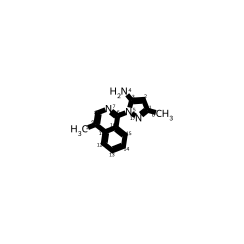 Cc1cc(N)n(-c2ncc(C)c3ccccc23)n1